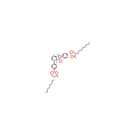 CCCCCCCC[C@@H]1CO[C@@H](c2ccc(OC(=O)C3(F)C(F)=CC=CC3c3ccc([C@@H]4OC[C@@H](CCCCCCCC)C(C)O4)cc3)cc2)OC1C